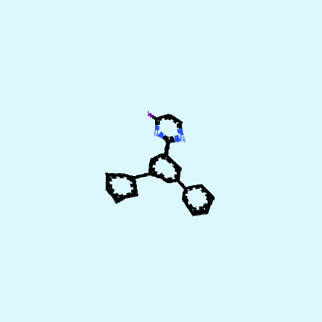 Ic1ccnc(-c2cc(-c3ccccc3)cc(-c3ccccc3)c2)n1